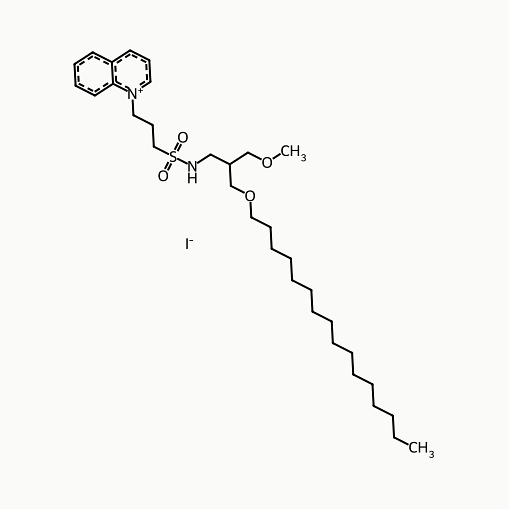 CCCCCCCCCCCCCCCCOCC(CNS(=O)(=O)CCC[n+]1cccc2ccccc21)COC.[I-]